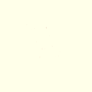 CC(O)C1OP(c2ccccc2)OC[C@@H]1OC(CO)OC1C2COC(O2)C(OSOI)C1O